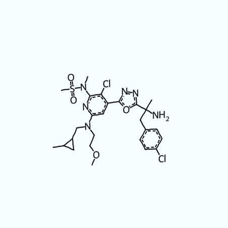 COCCN(CC1CC1C)c1cc(-c2nnc(C(C)(N)Cc3ccc(Cl)cc3)o2)c(Cl)c(N(C)S(C)(=O)=O)n1